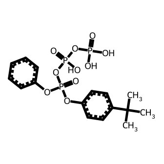 CC(C)(C)c1ccc(OP(=O)(Oc2ccccc2)OP(=O)(O)OP(=O)(O)O)cc1